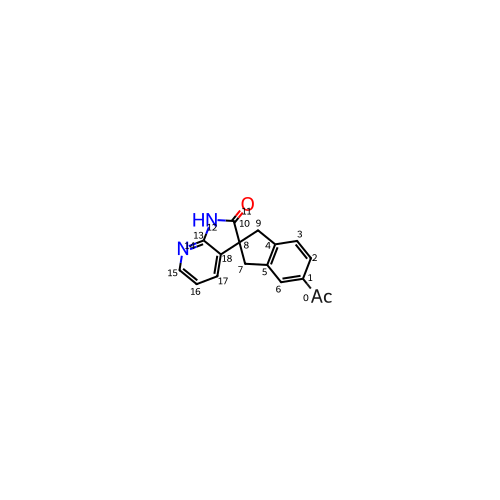 CC(=O)c1ccc2c(c1)CC1(C2)C(=O)Nc2ncccc21